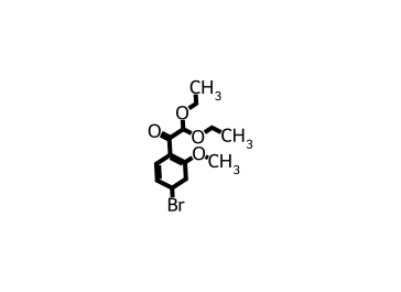 CCOC(OCC)C(=O)C1=C(OC)CC(Br)C=C1